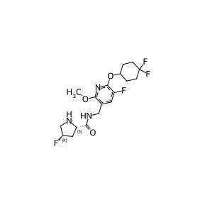 COc1nc(OC2CCC(F)(F)CC2)c(F)cc1CNC(=O)[C@@H]1C[C@@H](F)CN1